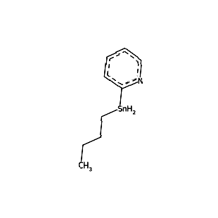 CCC[CH2][SnH2][c]1ccccn1